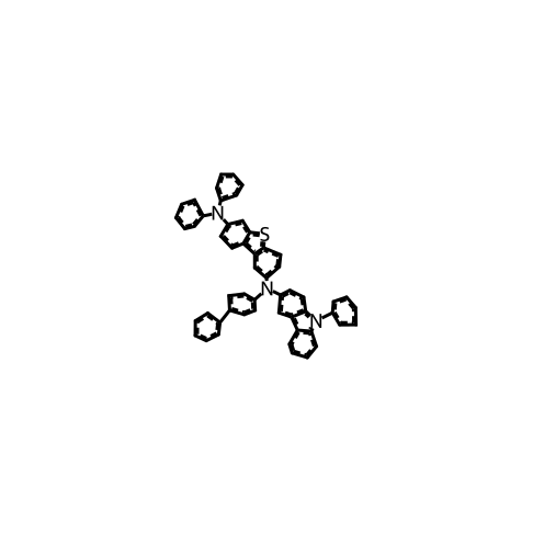 c1ccc(-c2ccc(N(c3ccc4sc5cc(N(c6ccccc6)c6ccccc6)ccc5c4c3)c3ccc4c(c3)c3ccccc3n4-c3ccccc3)cc2)cc1